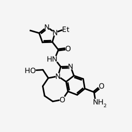 CCn1nc(C)cc1C(=O)Nc1nc2cc(C(N)=O)cc3c2n1C(CO)CCCO3